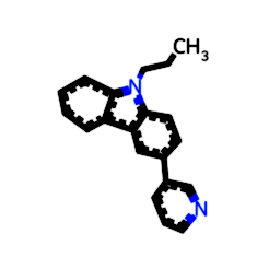 CCCn1c2ccccc2c2cc(-c3cccnc3)ccc21